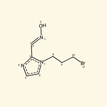 ON=Cc1nccn1CCCBr